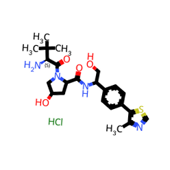 Cc1ncsc1-c1ccc(C(CO)NC(=O)C2CC(O)CN2C(=O)[C@@H](N)C(C)(C)C)cc1.Cl